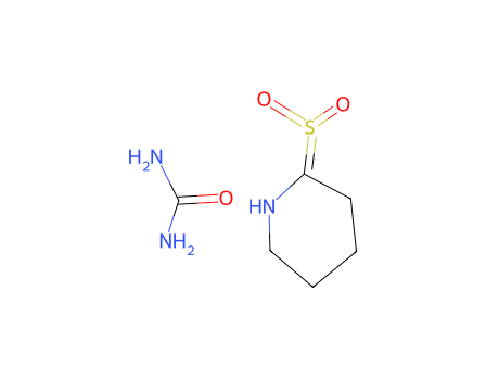 NC(N)=O.O=S(=O)=C1CCCCN1